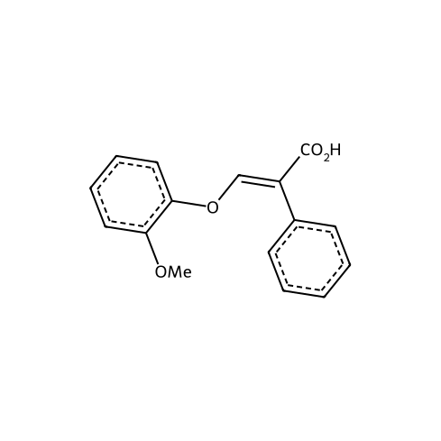 COc1ccccc1OC=C(C(=O)O)c1ccccc1